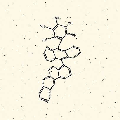 Bc1c(B)c(O)c(B)c(-c2c3ccccc3c(-c3cccc4c3ccc3cc5ccccc5cc34)c3ccccc23)c1B